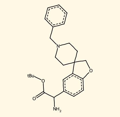 CC(C)(C)OC(=O)C(N)c1ccc2c(c1)C1(CCN(Cc3ccccc3)CC1)CO2